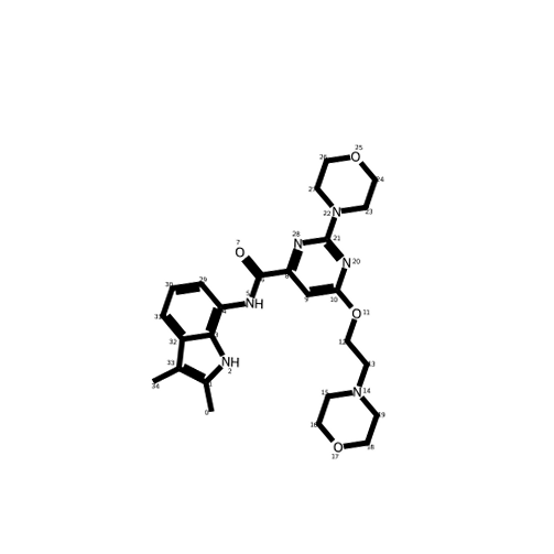 Cc1[nH]c2c(NC(=O)c3cc(OCCN4CCOCC4)nc(N4CCOCC4)n3)cccc2c1C